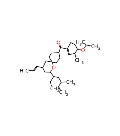 C=CC(C)CC(CC)C1CC(/C=C/C)CC2(CCC(C(=O)C3=CC(C)C(OC(C)C)CC3)CC2)O1